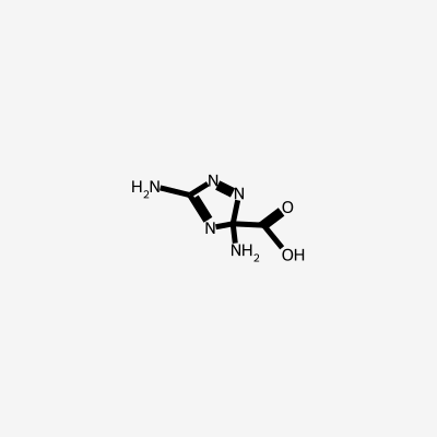 NC1=NC(N)(C(=O)O)N=N1